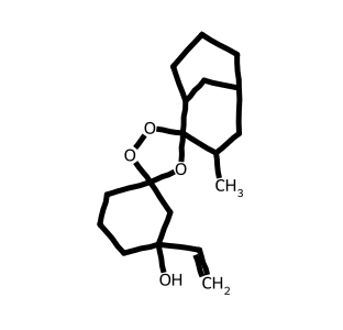 C=CC1(O)CCCC2(C1)OOC1(O2)C(C)CC2CCCC1C2